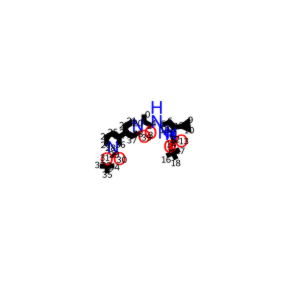 CC(C(=O)Nc1cc(C2CC2)n(C(=O)OC(C)(C)C)n1)n1ccc(C2=CCCN(C(=O)OC(C)(C)C)C2)cc1=O